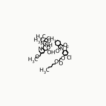 CCCCCOC(=O)COc1cc(N2C(=O)C3=C(CCCC3)C2=O)c(F)cc1Cl.COCc1cnc(C2=NC(C)(C(C)C)C(=O)N2)c(C(=O)O)c1